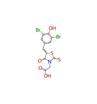 O=C(O)CN1C(=O)/C(=C/c2cc(Br)c(O)c(Br)c2)SC1=S